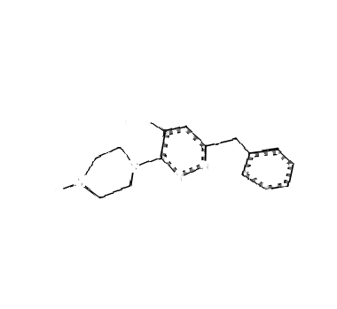 Cc1cc(Cc2ccccc2)nnc1N1CCN(C)CC1